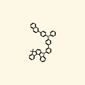 CC1(C)c2ccccc2-c2c1ccc1c2c2ccccc2n1-c1cccc(-c2ccc(N(c3ccccc3)c3ccc(-c4ccc5ccccc5c4)cc3)cc2)c1